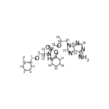 Cc1ccccc1COCC(C)(C)NP(=O)(COC(C)Cn1cnc2c(N)ncnc21)Oc1ccccc1